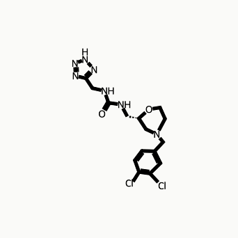 O=C(NCc1nn[nH]n1)NC[C@H]1CN(Cc2ccc(Cl)c(Cl)c2)CCO1